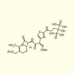 CO/N=C(\C(=O)N[C@@H]1C(=O)N2C(C(=O)O)=C(COC(C)=O)CS[C@H]12)c1csc(NCCC(O)(P(=O)(O)O)P(=O)(O)O)n1